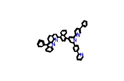 c1ccc(-c2ccc(-c3cc(-c4ccc(-c5ccc6ccc7c(-c8ccccc8)c8ccccc8nc7c6n5)c5ccccc45)cc(-c4ccc(-c5ccccn5)cc4)n3)nc2)cc1